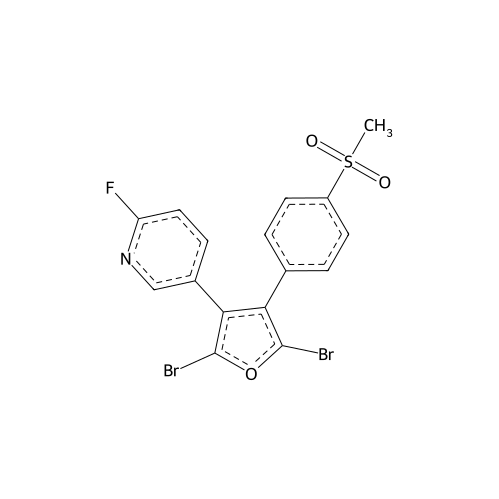 CS(=O)(=O)c1ccc(-c2c(Br)oc(Br)c2-c2ccc(F)nc2)cc1